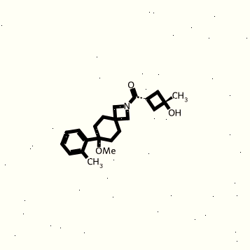 COC1(c2ccccc2C)CCC2(CC1)CN(C(=O)[C@H]1C[C@@](C)(O)C1)C2